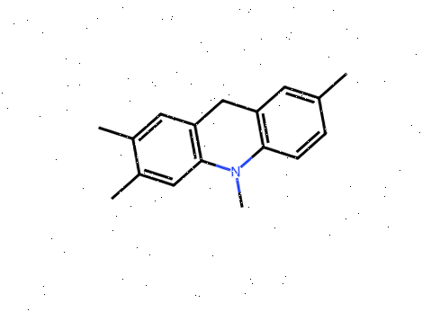 Cc1ccc2c(c1)Cc1cc(C)c(C)cc1N2C